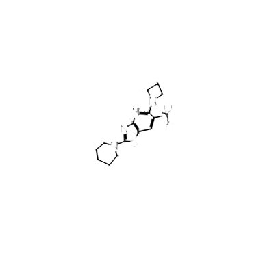 O=[N+]([O-])c1cc2sc(N3CCCCC3)nc2nc1N1CCC1